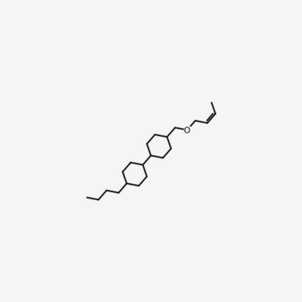 C/C=C\COCC1CCC(C2CCC(CCCC)CC2)CC1